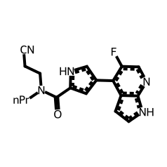 CCCN(CCC#N)C(=O)c1cc(-c2c(F)cnc3[nH]ccc23)c[nH]1